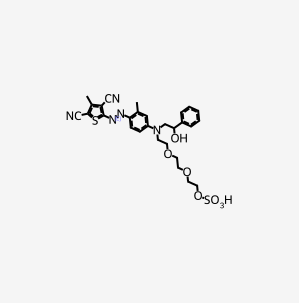 Cc1cc(N(CCOCCOCCOS(=O)(=O)O)CC(O)c2ccccc2)ccc1/N=N/c1sc(C#N)c(C)c1C#N